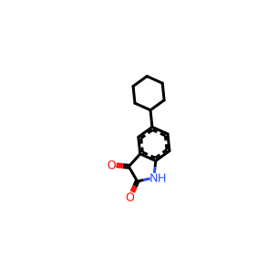 O=C1Nc2ccc(C3CCCCC3)cc2C1=O